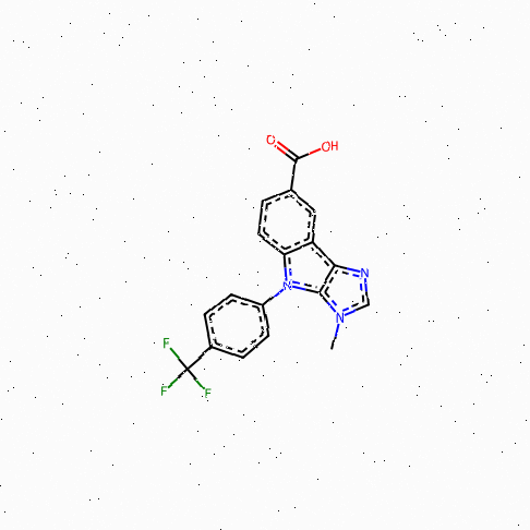 Cn1cnc2c3cc(C(=O)O)ccc3n(-c3ccc(C(F)(F)F)cc3)c21